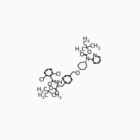 CC(C)(C)OC(=O)[C@H](Cc1ccc(CO[C@H]2CC[C@@H](N(C(=O)OC(C)(C)C)c3ccccn3)CC2)cc1)NC(=O)c1c(Cl)cccc1Cl